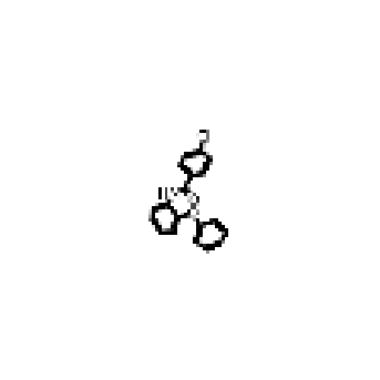 O=C(Nc1ccccc1Oc1ccccc1)c1ccc(Cl)cc1